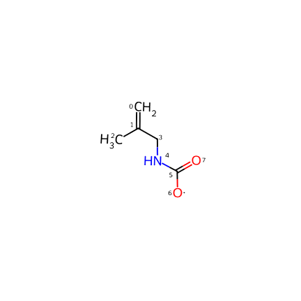 C=C(C)CNC([O])=O